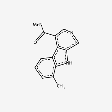 CNC(=O)c1cncc2[nH]c3c(C)cccc3c12